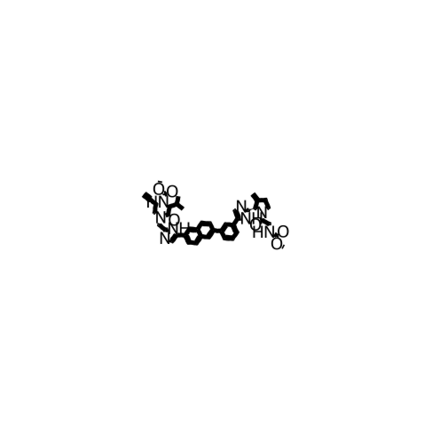 C#CCCN(Cc1ncc(-c2ccc3cc(-c4cccc(-c5cnc([C@@H]6C(=C)CCN6C(=O)CNC(=O)OC)[nH]5)c4)ccc3c2)[nH]1)C(=O)[C@@H](NC(=O)OC)C(C)C